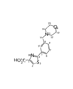 O=C(O)c1csc(-c2cccc(CN3CCOCC3)c2)n1